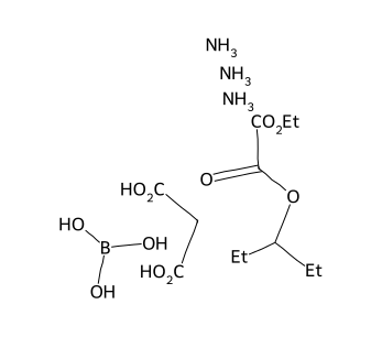 CCOC(=O)C(=O)OC(CC)CC.N.N.N.O=C(O)CC(=O)O.OB(O)O